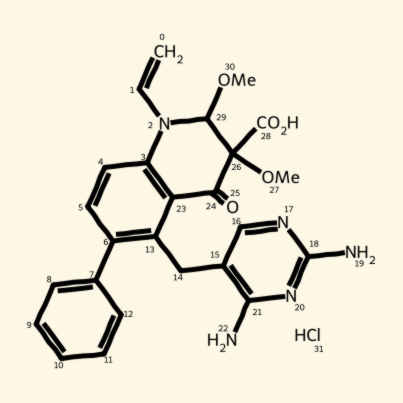 C=CN1c2ccc(-c3ccccc3)c(Cc3cnc(N)nc3N)c2C(=O)C(OC)(C(=O)O)C1OC.Cl